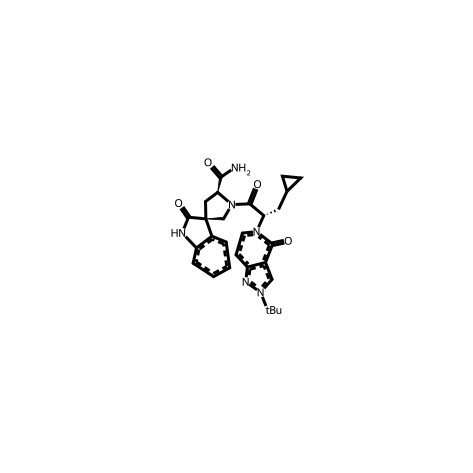 CC(C)(C)n1cc2c(=O)n([C@@H](CC3CC3)C(=O)N3C[C@]4(C[C@H]3C(N)=O)C(=O)Nc3ccccc34)ccc2n1